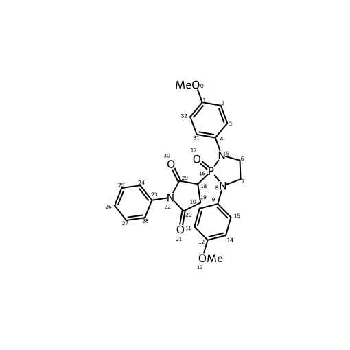 COc1ccc(N2CCN(c3ccc(OC)cc3)P2(=O)C2CC(=O)N(c3ccccc3)C2=O)cc1